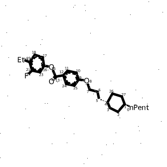 CCCCC[C@H]1CC[C@H](CCCOc2ccc(C(=O)Oc3ccc(CC)c(F)c3)cc2)CC1